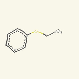 [CH2]CCCCSc1ccccc1